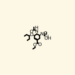 CCOC(=O)C1=C[C@@H](OC(CC)CC)[C@H](NC(C)=O)[C@@H](N)C1.O=CO